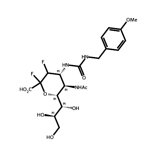 COc1ccc(CNC(=O)N[C@H]2C(F)C(F)(C(=O)O)O[C@@H]([C@H](O)[C@H](O)CO)[C@@H]2NC(C)=O)cc1